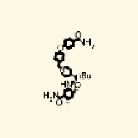 CCCCN(C(=O)Nc1cc(C(N)=O)c(F)cc1F)C1CCN(Cc2ccc(Oc3ccc(C(N)=O)cc3)cc2)CC1